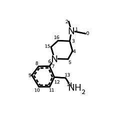 CN(C)C1CCN(c2ccccc2CN)CC1